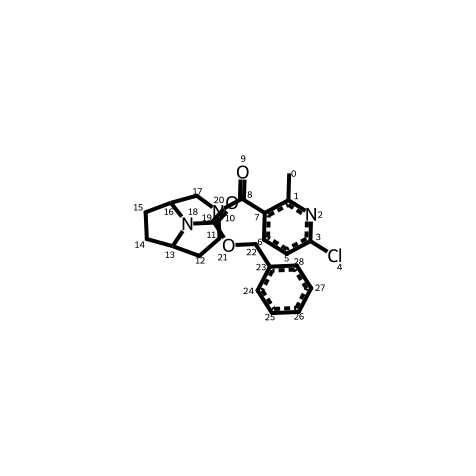 Cc1nc(Cl)ccc1C(=O)N1CCC2CCC(C1)N2C(=O)OCc1ccccc1